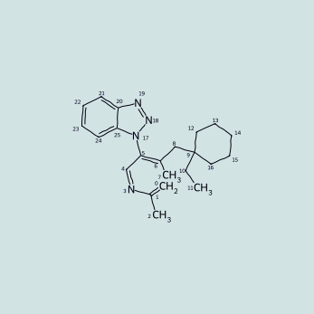 C=C(C)/N=C\C(=C(/C)CC1(CC)CCCCC1)n1nnc2ccccc21